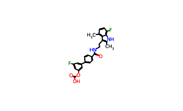 Cc1[nH]c2c(F)ccc(C)c2c1CCNC(=O)c1ccc(-c2cc(F)cc(OC(=O)O)c2)cc1